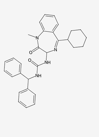 CN1C(=O)C(NC(=O)NC(c2ccccc2)c2ccccc2)N=C(C2CCCCC2)c2ccccc21